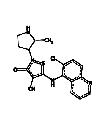 C[C@H]1NCCC1n1sc(Nc2c(Cl)ccc3ncccc23)c(C#N)c1=O